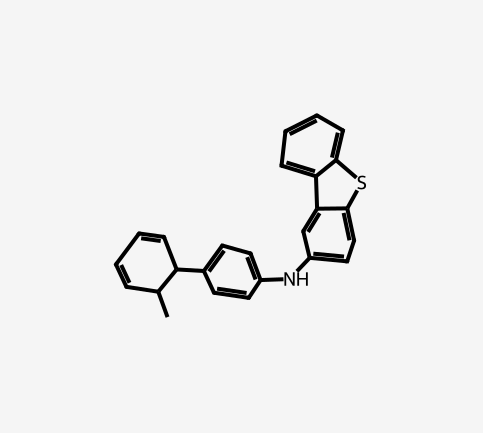 CC1C=CC=CC1c1ccc(Nc2ccc3sc4ccccc4c3c2)cc1